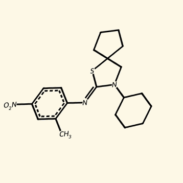 Cc1cc([N+](=O)[O-])ccc1N=C1SC2(CCCC2)CN1C1CCCCC1